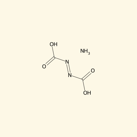 N.O=C(O)/N=N/C(=O)O